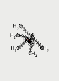 CCCCCCCCCCCC(=O)N(CC(CCCCCCCC)CCCCCCCCCC)[C@](CCC(=O)O)(CC(CCCCCCCC)CCCCCCCCCC)C(=O)O